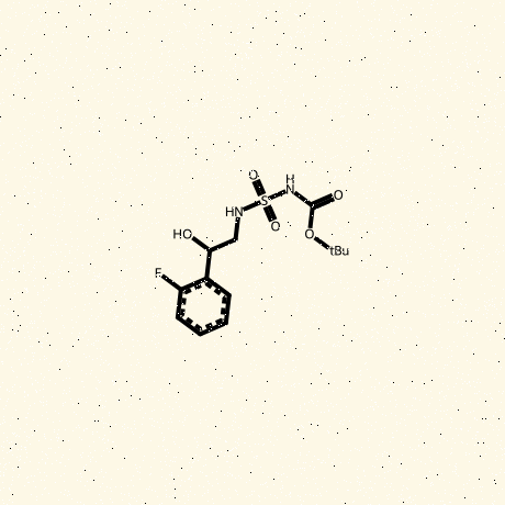 CC(C)(C)OC(=O)NS(=O)(=O)NCC(O)c1ccccc1F